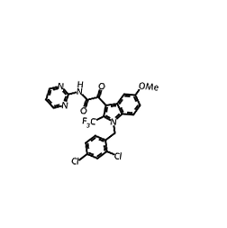 COc1ccc2c(c1)c(C(=O)C(=O)Nc1ncccn1)c(C(F)(F)F)n2Cc1ccc(Cl)cc1Cl